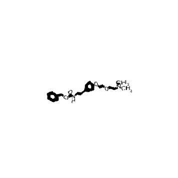 CN(C)CCOCCOc1ccc(CCNC(=O)OCc2ccccc2)cc1